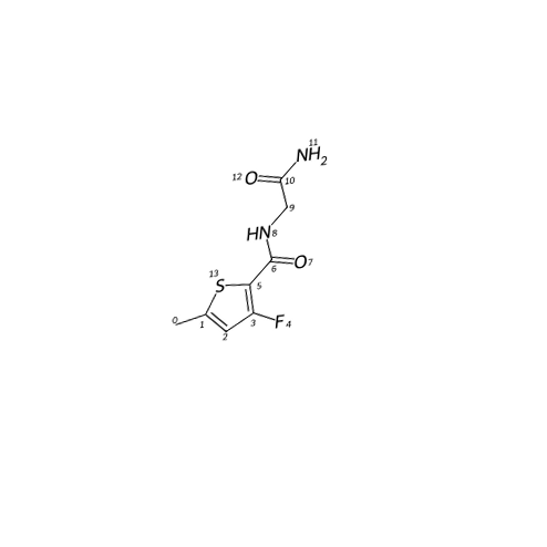 Cc1cc(F)c(C(=O)NCC(N)=O)s1